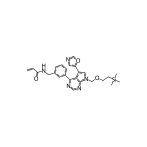 C=CC(=O)NCc1cccc(-c2ncnc3c2c(-c2cnco2)cn3COCC[Si](C)(C)C)c1